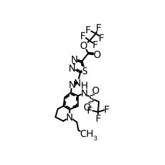 CCCN1CCCc2cc(N=Nc3nnc(C(=O)OC(F)(F)C(F)(F)F)s3)c(NS(=O)(=O)CC(F)(F)F)cc21